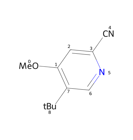 COc1cc(C#N)ncc1C(C)(C)C